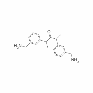 CC(C(=O)C(C)c1cccc(CN)c1)c1cccc(CN)c1